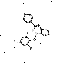 Fc1cc(F)c(Oc2nc(-c3ccncc3)nc3ccsc23)c(F)c1